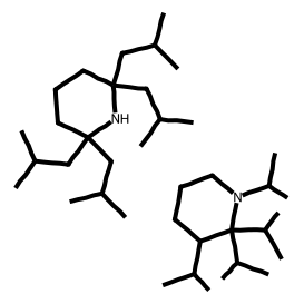 CC(C)C1CCCN(C(C)C)C1(C(C)C)C(C)C.CC(C)CC1(CC(C)C)CCCC(CC(C)C)(CC(C)C)N1